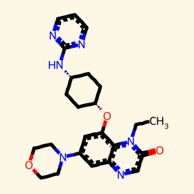 CCn1c(=O)cnc2cc(N3CCOCC3)cc(O[C@H]3CC[C@@H](Nc4ncccn4)CC3)c21